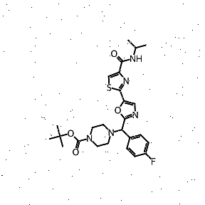 CC(C)NC(=O)c1csc(-c2cnc(C(c3ccc(F)cc3)N3CCN(C(=O)OC(C)(C)C)CC3)o2)n1